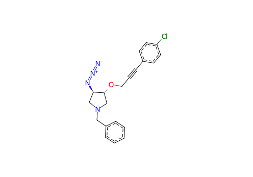 [N-]=[N+]=N[C@@H]1CN(Cc2ccccc2)C[C@H]1OCC#Cc1ccc(Cl)cc1